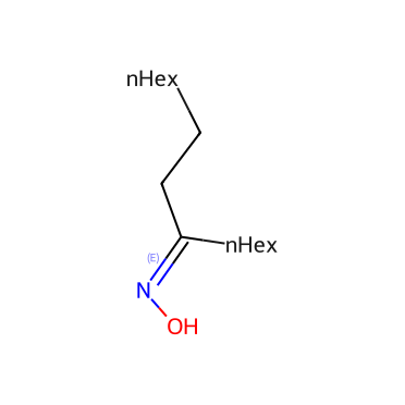 CCCCCCCC/C(CCCCCC)=N/O